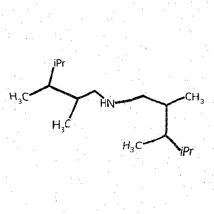 CC(C)C(C)C(C)CNCC(C)C(C)C(C)C